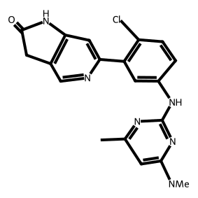 CNc1cc(C)nc(Nc2ccc(Cl)c(-c3cc4c(cn3)CC(=O)N4)c2)n1